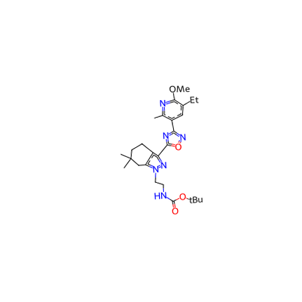 CCc1cc(-c2noc(-c3nn(CCNC(=O)OC(C)(C)C)c4c3CCC(C)(C)C4)n2)c(C)nc1OC